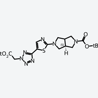 CCOC(=O)Cn1nnc(-c2cnc(N3CC4CN(C(=O)OC(C)(C)C)C[C@H]4C3)s2)n1